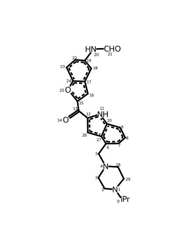 CC(C)N1CCN(Cc2cccc3[nH]c(C(=O)c4cc5cc(NC=O)ccc5o4)cc23)CC1